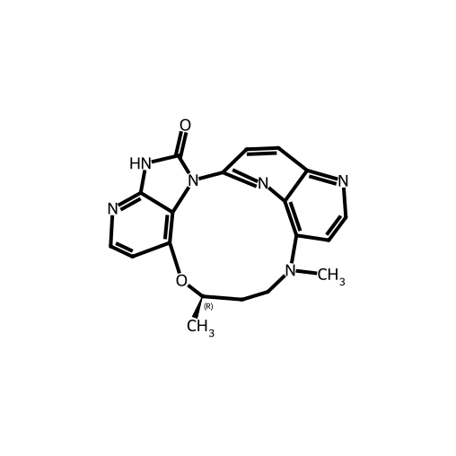 C[C@@H]1CCN(C)c2ccnc3ccc(nc23)-n2c(=O)[nH]c3nccc(c32)O1